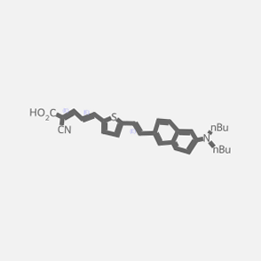 CCCCN(CCCC)c1ccc2cc(/C=C/c3ccc(/C=C/C=C(\C#N)C(=O)O)s3)ccc2c1